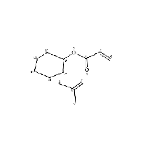 C=C(C)C.C=CC(=O)OC1CCCCC1